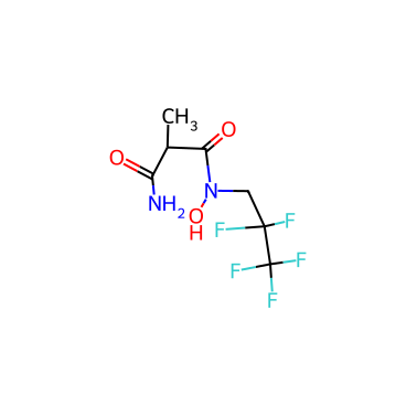 CC(C(N)=O)C(=O)N(O)CC(F)(F)C(F)(F)F